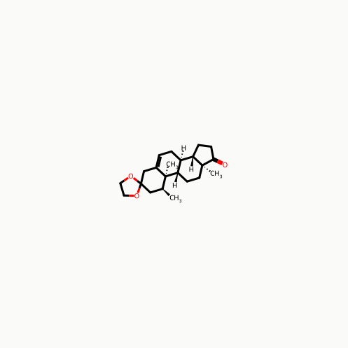 C[C@H]1CC2(CC3=CC[C@@H]4[C@H](CC[C@]5(C)C(=O)CC[C@@H]45)[C@]31C)OCCO2